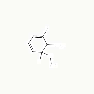 CCCOC1(F)C=CC=C(F)C1C(=O)O